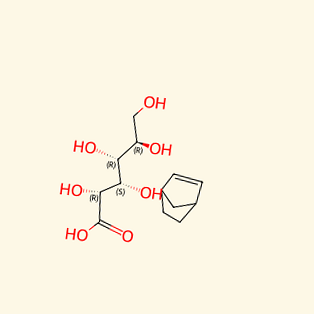 C1=CC2CCC1C2.O=C(O)[C@H](O)[C@@H](O)[C@H](O)[C@H](O)CO